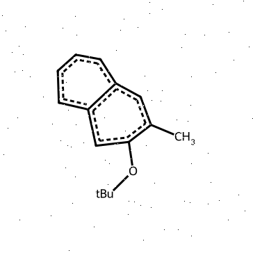 Cc1cc2ccccc2cc1OC(C)(C)C